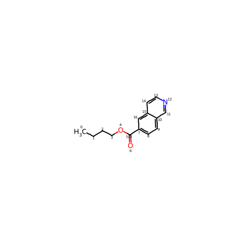 CCCCOC(=O)c1ccc2cnccc2c1